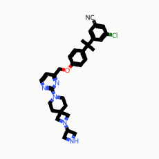 CC(C)(c1ccc(OCc2ccnc(N3CCC4(CC3)CN(C3CNC3)C4)n2)cc1)c1cc(Cl)cc(C#N)c1